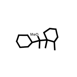 COC(C)(C1CCCCC1)C1(C)CCCCC1C